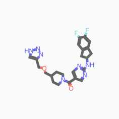 O=C(c1cnc(NC2Cc3cc(F)c(F)cc3C2)nc1)N1CCC(COCc2c[nH]nn2)CC1